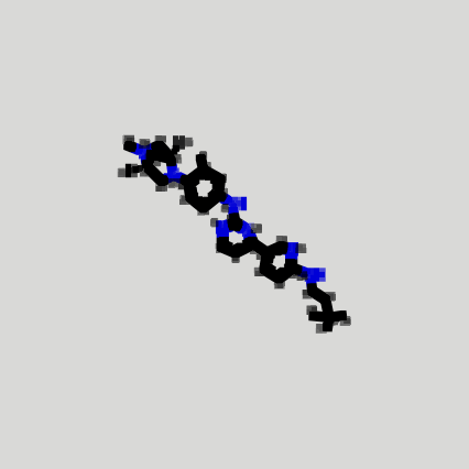 Cc1cc(Nc2nccc(-c3ccc(NCCC(C)(C)C)nc3)n2)ccc1N1C[C@@H]2C[C@H]1CN2C